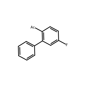 CC(=O)c1ccc(F)cc1-c1ccccc1